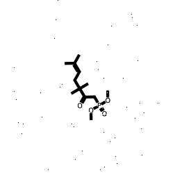 COP(=O)(CC(=O)C(C)(C)CC=C(C)C)OC